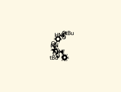 CC(C)(C)OC(=O)N[C@H]1CC[C@H](c2nc(C3(CN(C(=O)OC(C)(C)C)[C@@H]4C[C@H]4c4ccccc4)CC3)no2)CC1